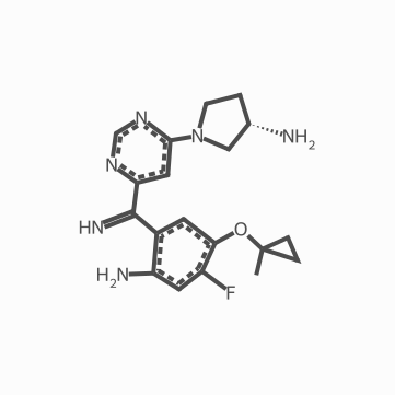 CC1(Oc2cc(C(=N)c3cc(N4CC[C@H](N)C4)ncn3)c(N)cc2F)CC1